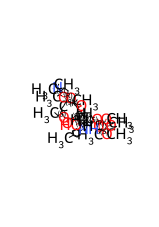 CC[C@H]1CCC[C@H](O[C@H]2CC[C@H](N(C)C)C(C)O2)[C@@H](C)C(=O)C2=C[C@H]3[C@@H]4C[C@H](O[C@@H]5OC(C)[C@H](OC)C(OC)C5OC)C[C@H]4[C@H](Nc4ccc(C)cc4)[C@@H](O)[C@H]3[C@@H]2CC(=O)O1